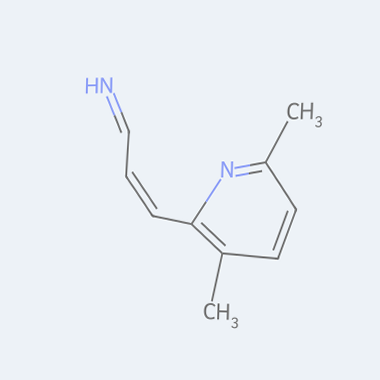 Cc1ccc(C)c(/C=C\C=N)n1